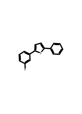 Fc1cccc(-c2ccc(-c3ccccc3)s2)c1